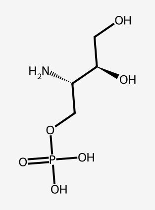 N[C@@H](COP(=O)(O)O)[C@H](O)CO